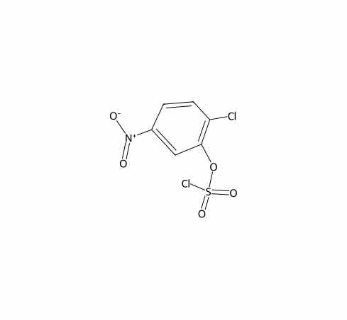 O=[N+]([O-])c1ccc(Cl)c(OS(=O)(=O)Cl)c1